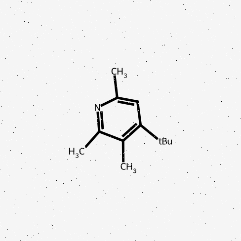 Cc1cc(C(C)(C)C)c(C)c(C)n1